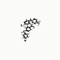 CC(C)c1ccc(CN2CCC(N(C)C)CC2)c(CC(C)c2ccc(N(C)C3CCNCC3)cc2)c1